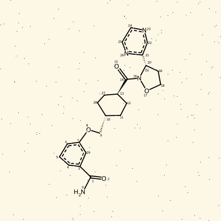 NC(=O)c1cccc(OC[C@H]2CC[C@H](C(=O)N3OCC[C@H]3c3cnccn3)CC2)c1